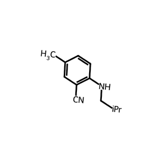 Cc1ccc(NCC(C)C)c(C#N)c1